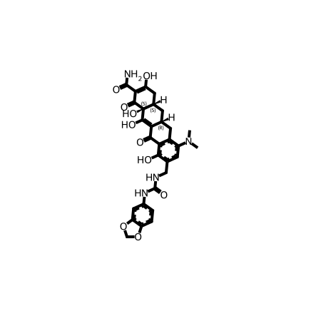 CN(C)c1cc(CNC(=O)Nc2ccc3c(c2)OCO3)c(O)c2c1C[C@H]1C[C@H]3CC(O)=C(C(N)=O)C(=O)[C@@]3(O)C(O)=C1C2=O